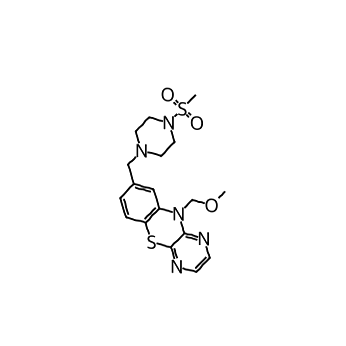 COCN1c2cc(CN3CCN(S(C)(=O)=O)CC3)ccc2Sc2nccnc21